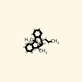 CCC[C@@]12c3ccccc3C3(C)c4ccccc4[C@@]4(C)C1[N+]342